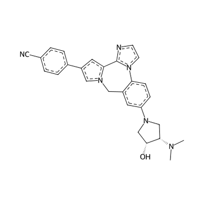 CN(C)[C@H]1CN(c2ccc3c(c2)Cn2cc(-c4ccc(C#N)cc4)cc2-c2nccn2-3)C[C@H]1O